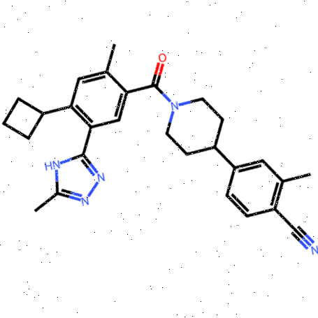 Cc1nnc(-c2cc(C(=O)N3CCC(c4ccc(C#N)c(C)c4)CC3)c(C)cc2C2CCC2)[nH]1